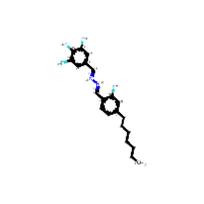 CCCCCCCc1ccc(/C=N/N=C/c2cc(F)c(F)c(F)c2)c(F)c1